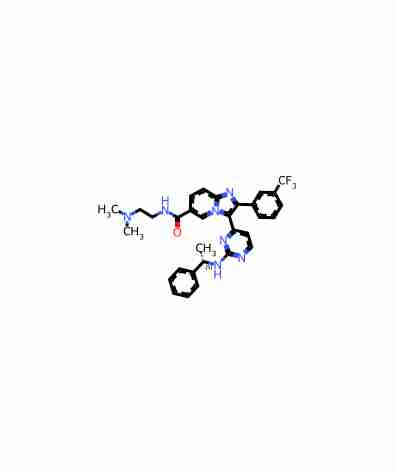 C[C@H](Nc1nccc(-c2c(-c3cccc(C(F)(F)F)c3)nc3ccc(C(=O)NCCN(C)C)cn23)n1)c1ccccc1